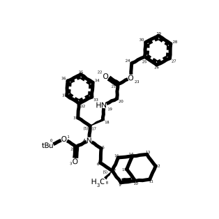 CC(C)(C)OC(=O)N(CC[C@@]1(C)C=C2CCCC(C2)C1)[C@H](CNCC(=O)OCc1ccccc1)Cc1ccccc1